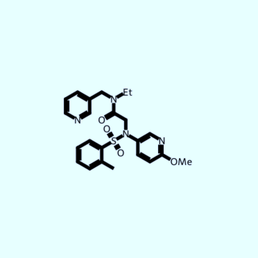 CCN(Cc1cccnc1)C(=O)CN(c1ccc(OC)nc1)S(=O)(=O)c1ccccc1C